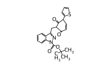 CC(C)(C)OC(=O)n1nc(CC2C(=O)C=CC(c3cccs3)C2=O)c2ccccc21